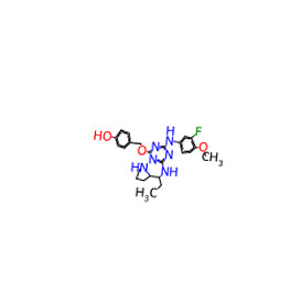 CCC(Nc1nc(Nc2ccc(OC)c(F)c2)nc(OCc2ccc(O)cc2)n1)C1CCCN1